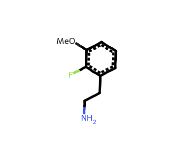 COc1cccc(CCN)c1F